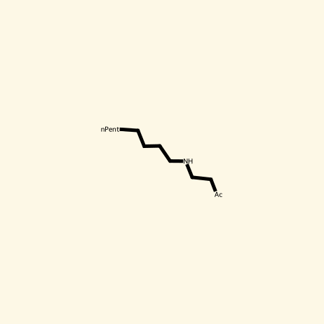 CCCCCCCCCNCCC(C)=O